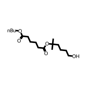 CCCCOC(=O)CCCCC(=O)OC(C)(C)CCCCO